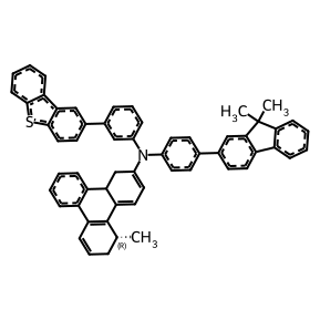 C[C@@H]1CC=CC2=C1C1=CC=C(N(c3ccc(-c4ccc5c(c4)C(C)(C)c4ccccc4-5)cc3)c3cccc(-c4ccc5sc6ccccc6c5c4)c3)CC1c1ccccc12